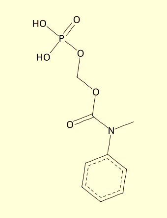 CN(C(=O)OCOP(=O)(O)O)c1ccccc1